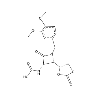 COc1ccc(CN2C(=O)[C@@H](NC(=O)O)[C@H]2[C@@H]2COC(=O)O2)cc1OC